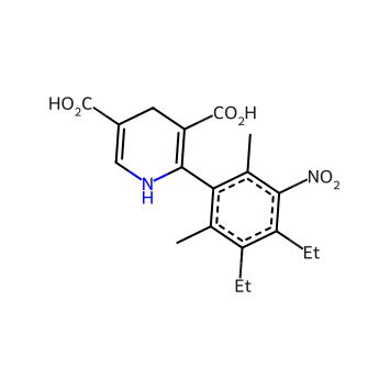 CCc1c(C)c(C2=C(C(=O)O)CC(C(=O)O)=CN2)c(C)c([N+](=O)[O-])c1CC